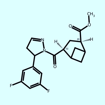 COC(=O)[C@@H]1C[C@H](C(=O)N2N=CCC2c2cc(F)cc(F)c2)C2CC1C2